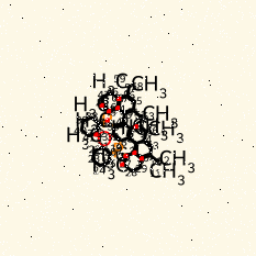 [2H]c1c(-c2c(C(C)C)cc(C(C)C)cc2C(C)C)c(P(C2CCCCC2)C2CCCCC2)c(OC)c(P(C2CCCCC2)C2CCCCC2)c1-c1c(C(C)C)cc(C(C)C)cc1C(C)C